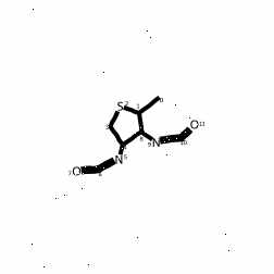 CC1SCC(N=C=O)C1N=C=O